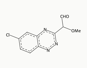 COC(C=O)c1nnc2ccc(Cl)cc2n1